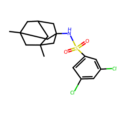 CC12CC3CC(C)(C1)CC(NS(=O)(=O)c1cc(Cl)cc(Cl)c1)(C3)C2